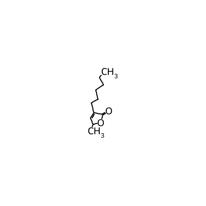 CCCCCCC1=CC(C)OC1=O